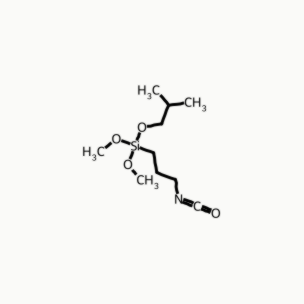 CO[Si](CCCN=C=O)(OC)OCC(C)C